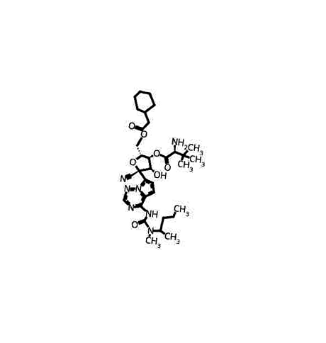 CCCC(C)N(C)C(=O)Nc1ncnn2c([C@]3(C#N)O[C@H](COC(=O)CC4CCCCC4)[C@@H](OC(=O)[C@@H](N)C(C)(C)C)[C@H]3O)ccc12